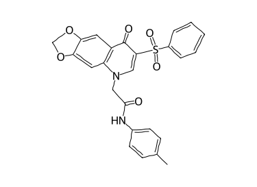 Cc1ccc(NC(=O)Cn2cc(S(=O)(=O)c3ccccc3)c(=O)c3cc4c(cc32)OCO4)cc1